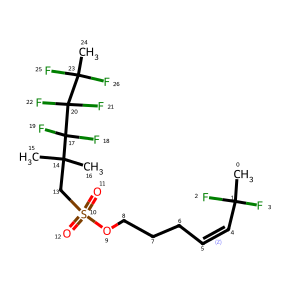 CC(F)(F)/C=C\CCCOS(=O)(=O)CC(C)(C)C(F)(F)C(F)(F)C(C)(F)F